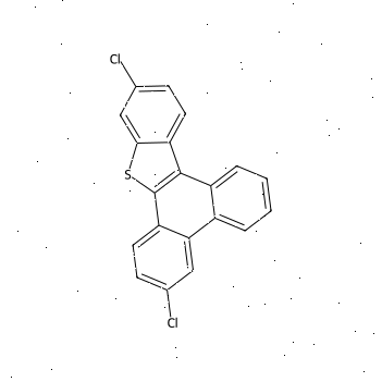 Clc1ccc2c(c1)sc1c3ccc(Cl)cc3c3ccccc3c21